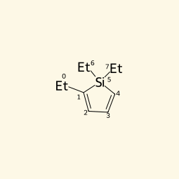 CCC1=CC=C[Si]1(CC)CC